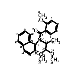 COc1ccccc1C(=O)N(c1c(C)ccc2ccccc12)C(C)C(OC)OC